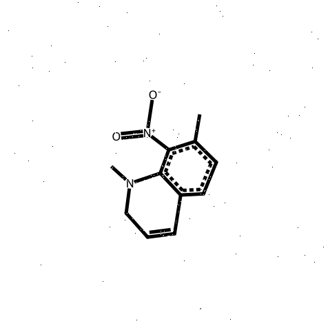 Cc1ccc2c(c1[N+](=O)[O-])N(C)CC=C2